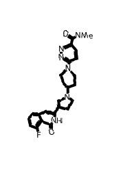 CNC(=O)c1ccc(N2CCC(N3CCC(c4cc5cccc(F)c5c(=O)[nH]4)C3)CC2)nn1